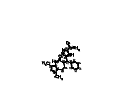 Cc1cn(C)c2c1NC(=O)C(C(c1ccccc1)c1nnc(C(N)=O)[nH]1)CC2